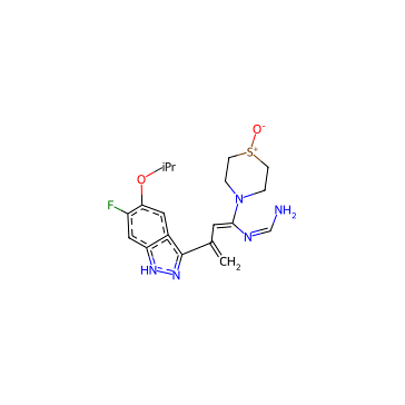 C=C(/C=C(\N=C/N)N1CC[S+]([O-])CC1)c1n[nH]c2cc(F)c(OC(C)C)cc12